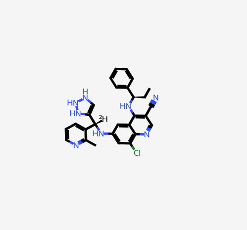 [2H][C@](Nc1cc(Cl)c2ncc(C#N)c(N[C@H](CC)c3ccccc3)c2c1)(C1=CNNN1)c1cccnc1C